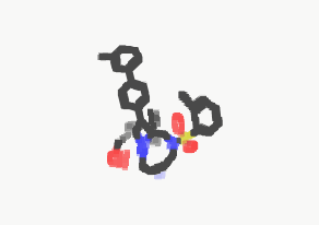 Cc1cccc(-c2ccc(C3[C@@H](CO)N4C/C=C\CN(S(=O)(=O)c5ccccc5C)C[C@@H]34)cc2)c1